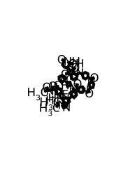 Cc1cc(F)c(Nc2nc(-c3ccc4c(c3)N([C@H]3C[C@@H](N5CCCCC5)C3)C(=O)C43CCN(C(=O)C4CCN(C(=O)C5CCC(Nc6cccc7c6C(=O)N(C6CCC(=O)NC6=O)C7=O)CC5)C4)CC3)cc3ncn(C(C)C)c23)cc1C(=O)NC(C)C